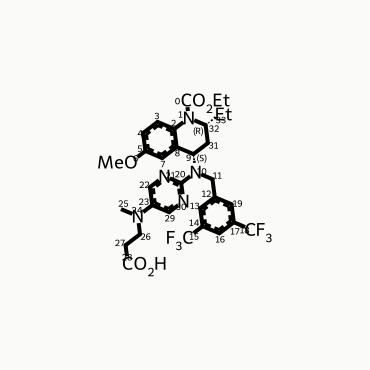 CCOC(=O)N1c2ccc(OC)cc2[C@@H](N(Cc2cc(C(F)(F)F)cc(C(F)(F)F)c2)c2ncc(N(C)CCC(=O)O)cn2)C[C@H]1CC